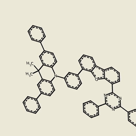 CC1(C)c2cc(-c3ccccc3)ccc2N(c2cccc(-c3cccc4c3oc3c(-c5nc(-c6ccccc6)nc(-c6ccccc6)n5)cccc34)c2)c2ccc(-c3ccccc3)cc21